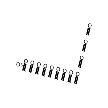 [C]=O.[C]=O.[C]=O.[C]=O.[C]=O.[C]=O.[C]=O.[C]=O.[C]=O.[C]=O.[C]=O.[C]=O.[Os]